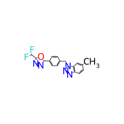 Cc1ccc2nnn(Cc3ccc(-c4nnc(C(F)F)o4)cc3)c2c1